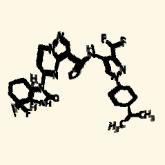 CC(C)[C@H]1CC[C@H](n2cc(NC(=O)c3cnn4ccc(N5C(=O)N[C@@H]6[C@H]5CCCC6(F)F)nc34)c(C(F)F)n2)CC1